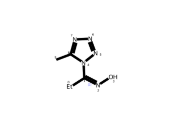 CC/C(=N/O)n1nnnc1C